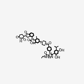 CCNC(=O)c1nnc(-c2cc(C(C)C)c(O)cc2O)n1-c1ccc(C(=O)N2CCN(c3cc(C)c(N(C(=O)O)c4cccc5c4CN(C4CCC(=O)NC4=O)C5=O)c(C)c3)CC2)cc1